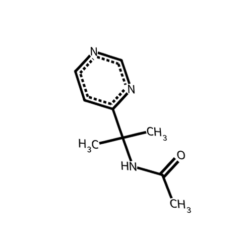 CC(=O)NC(C)(C)c1ccncn1